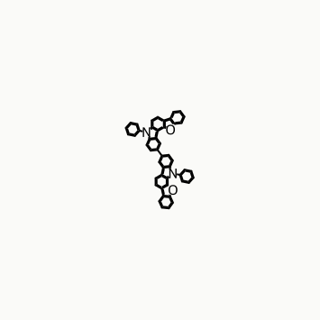 c1ccc(-n2c3ccc(-c4ccc5c(c4)c4ccc6c7ccccc7oc6c4n5-c4ccccc4)cc3c3c4oc5ccccc5c4ccc32)cc1